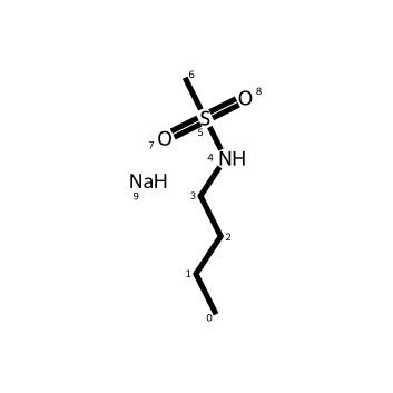 CCCCNS(C)(=O)=O.[NaH]